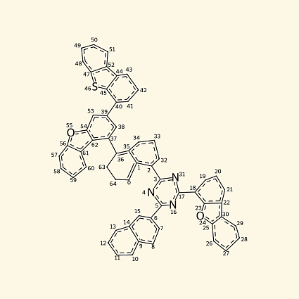 C1=c2c(-c3nc(-c4ccc5ccccc5c4)nc(-c4cccc5c4oc4ccccc45)n3)cccc2=C(c2cc(-c3cccc4c3sc3ccccc34)cc3oc4ccccc4c23)CC1